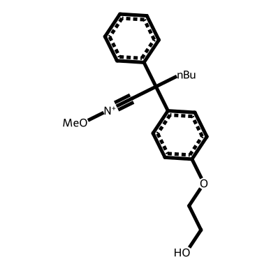 CCCCC(C#[N+]OC)(c1ccccc1)c1ccc(OCCO)cc1